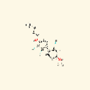 CCCCOc1ccc(-c2ccc(OC)cc2F)c(F)c1F